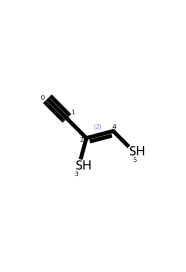 C#C/C(S)=C/S